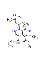 C=C(CC(C)C)C1=C(C)NC(C)=C2/C(=C3/CC(C)(C)CCC3=C)NC=C(/C=C\C=C/C)C12